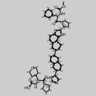 COC(=O)N[C@@H](C(=O)N1CCC[C@H]1c1nc2ccc3cc(-c4ccc5cc(-c6cnc([C@@H]7CCCN7C(=O)[C@@H](NC(=O)O)C7CCOCC7)[nH]6)ccc5c4)ccc3c2[nH]1)c1ccccc1